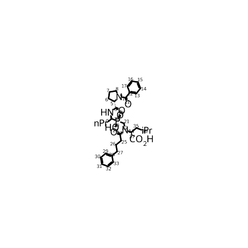 CCCC(NC(=O)[C@@H]1CCCN1C(=O)c1ccccc1)P(=O)(O)CN(C(=O)CCCc1ccccc1)[C@@H](CC(C)C)C(=O)O